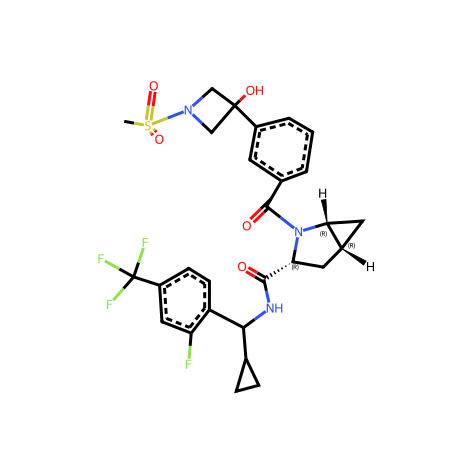 CS(=O)(=O)N1CC(O)(c2cccc(C(=O)N3[C@@H](C(=O)NC(c4ccc(C(F)(F)F)cc4F)C4CC4)C[C@H]4C[C@H]43)c2)C1